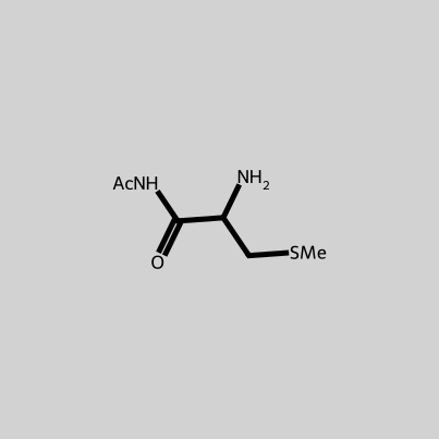 CSCC(N)C(=O)NC(C)=O